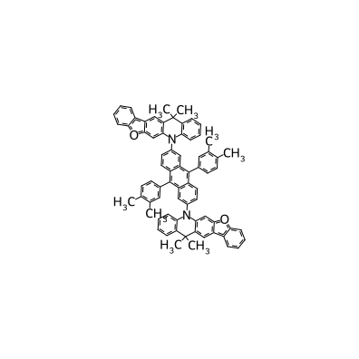 Cc1ccc(-c2c3ccc(N4c5ccccc5C(C)(C)c5cc6c(cc54)oc4ccccc46)cc3c(-c3ccc(C)c(C)c3)c3ccc(N4c5ccccc5C(C)(C)c5cc6c(cc54)oc4ccccc46)cc23)cc1C